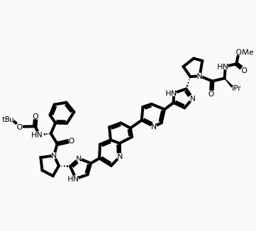 COC(=O)N[C@H](C(=O)N1CCC[C@H]1c1ncc(-c2ccc(-c3ccc4cc(-c5c[nH]c([C@@H]6CCCN6C(=O)[C@H](NC(=O)OC(C)(C)C)c6ccccc6)n5)cnc4c3)nc2)[nH]1)C(C)C